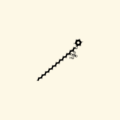 CCCCCCCCCCCCCCCCCCCCC(COc1ccccc1)OP(=O)(O)O